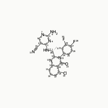 C[C@@H](Nc1nc(N)ncc1C#N)c1nc2cccc(Cl)c2c(=O)n1-c1ccc(F)c(F)c1